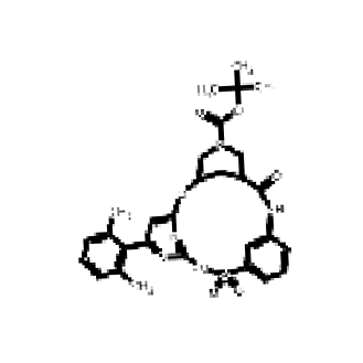 Cc1cccc(C)c1-c1cc2nc(n1)NS(=O)(=O)c1cccc(c1)NC(=O)C1CC(CN(C(=O)OC(C)(C)C)C1)O2